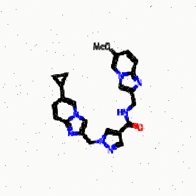 COc1ccc2nc(CNC(=O)c3cnn(Cc4cn5cc(C6CC6)ccc5n4)c3)cn2c1